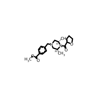 COC(=O)c1ccc(CN2C[C@@H](C)N(C(=O)C3CCCO3)[C@@H](C)C2)cc1